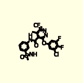 Cc1c(C(F)(F)F)nnc(Oc2cc(F)c(F)c(Cl)c2)c1C(=O)Nc1cccc(S(C)(=N)=O)c1